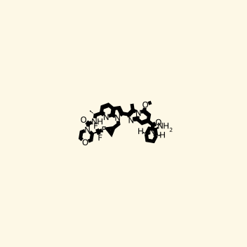 COc1cc(C(=O)N2[C@H]3CC[C@@H]2[C@H](N)C3)cc2nc(-c3cc4ccc([C@@H](C)NC(=O)N5CCOC[C@@H]5C(F)(F)F)nc4n3CC3CC3)c(C)n12